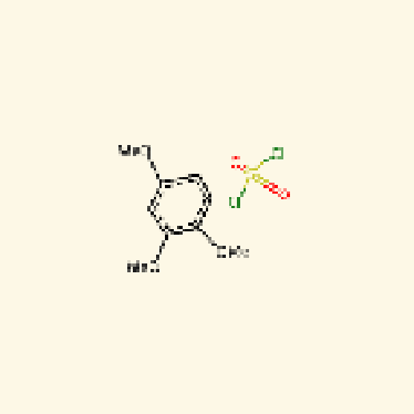 COc1ccc(OC)c(OC)c1.O=S(=O)(Cl)Cl